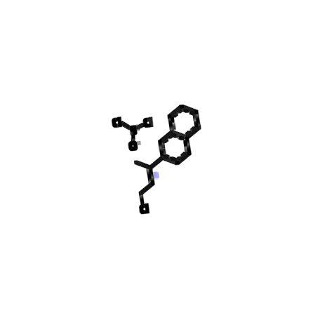 C/C(=C\CCl)c1ccc2ccccc2c1.[O-][S+](Cl)Cl